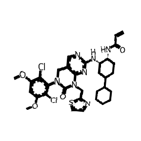 C=CC(=O)N[C@@H]1CCC(C2CCCCC2)C[C@@H]1Nc1ncc2c(n1)N(Cc1nccs1)C(=O)N(c1c(Cl)c(OC)cc(OC)c1Cl)C2